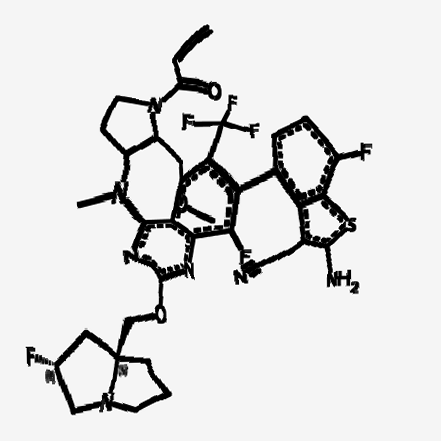 C=CC(=O)N1CCC(N(C)c2nc(OC[C@@]34CCCN3C[C@H](F)C4)nc3c(F)c(-c4ccc(F)c5sc(N)c(C#N)c45)c(C(F)(F)F)cc23)C1COC